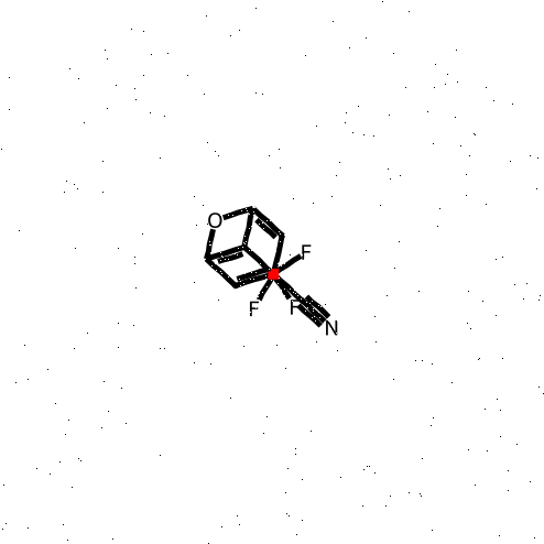 N#Cc1cc2c(C(F)(F)F)c(c1)O2